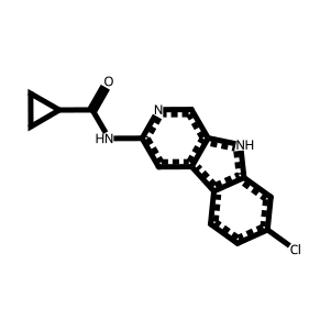 O=C(Nc1cc2c(cn1)[nH]c1cc(Cl)ccc12)C1CC1